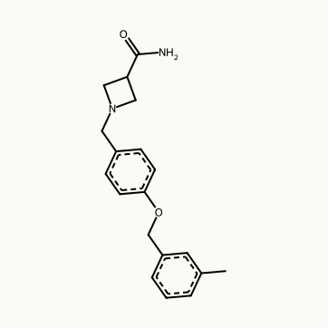 Cc1cccc(COc2ccc(CN3CC(C(N)=O)C3)cc2)c1